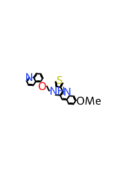 COc1ccc2cc(CNCCOc3cccc4ncccc34)c(-c3ccsc3)nc2c1